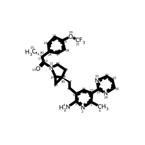 Cc1nc(N)c(CC[C@]23CCN(C(=O)[C@H](C)c4ccc(OC(F)(F)F)cc4)C2C3)cc1-c1ncccn1